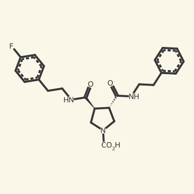 O=C(NCCc1ccccc1)[C@@H]1CN(C(=O)O)C[C@H]1C(=O)NCCc1ccc(F)cc1